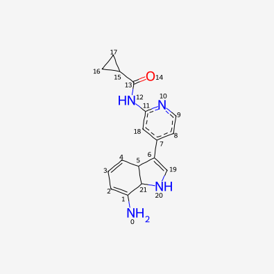 NC1=CC=CC2C(c3ccnc(NC(=O)C4CC4)c3)=CNC12